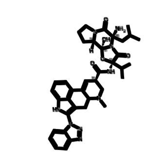 CC(C)C[C@@]1(N)C(=O)N2CCC[C@H]2[C@]2(O)O[C@](NC(=O)[C@@H]3C=C4c5cccc6[nH]c(-n7nnc8ccccc87)c(c56)CC4N(C)C3)(C(C)C)C(=O)N12